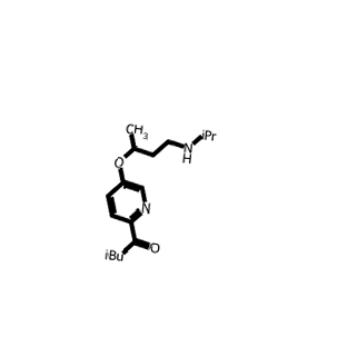 CCC(C)C(=O)c1ccc(OC(C)CCNC(C)C)cn1